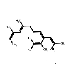 C/C=C(C)\C=C(/C)CC/C=C(C=C(C)C)\C(C)=C(\C#N)CC